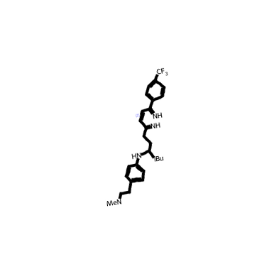 CCC(C)C(CCC(=N)/C=C\C(=N)c1ccc(C(F)(F)F)cc1)Nc1ccc(CCNC)cc1